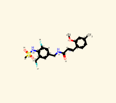 CCOc1cc(C(F)(F)F)ccc1/C=C/C(=O)NCc1cc(F)c(NS(C)(=O)=O)c(CF)c1